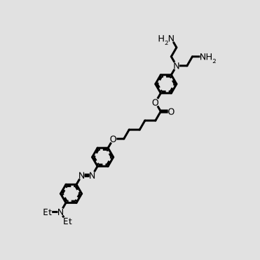 CCN(CC)c1ccc(N=Nc2ccc(OCCCCCC(=O)Oc3ccc(N(CCN)CCN)cc3)cc2)cc1